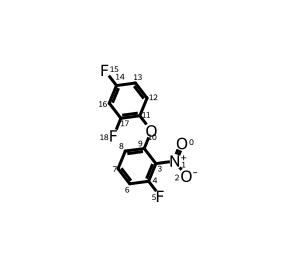 O=[N+]([O-])c1c(F)cccc1Oc1ccc(F)cc1F